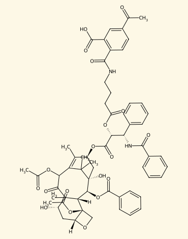 CC(=O)OC1C(=O)C2(C)[C@@H](O)C[C@H]3OC[C@@]3(OC(C)=O)[C@H]2[C@H](OC(=O)c2ccccc2)[C@]2(O)C[C@H](OC(=O)[C@H](OC(=O)CCCNC(=O)c3ccc(C(C)=O)cc3C(=O)O)[C@@H](NC(=O)c3ccccc3)c3ccccc3)C(C)=C1C2(C)C